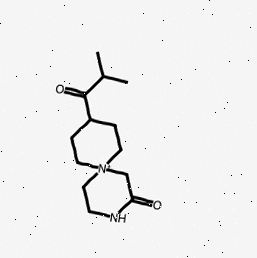 CC(C)C(=O)C1CC[N+]2(CCNC(=O)C2)CC1